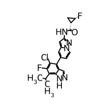 CC(C)c1c(F)c(Cl)c(-c2ccn3nc(NC(=O)[C@@H]4C[C@@H]4F)cc3c2)c2cn[nH]c12